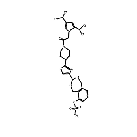 CS(=O)(=O)Oc1cccc2c1COC(c1csc(C3CCN(C(=O)Cn4nc(C(Cl)Cl)cc4C(Cl)Cl)CC3)n1)OC2